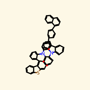 c1ccc(N(c2ccc(-c3ccc(-c4cccc5ccccc45)cc3)cc2)c2ccccc2-n2c3ccccc3c3ccccc32)c(-c2cccc3sc4ccccc4c23)c1